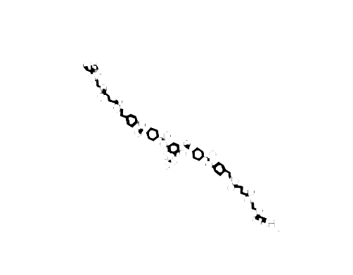 C=CC(=O)OCCOC(=O)CCC(=O)OCCc1ccc(OC(=O)[C@H]2CC[C@H](C(=O)Oc3ccc(OC(=O)[C@H]4CC[C@H](C(=O)Oc5ccc(CCOC(=O)CCC(=O)OCCOC(=O)C=C)cc5)CC4)c4sc(=S)sc34)CC2)cc1